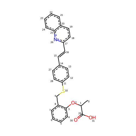 CC(Oc1ccccc1CSc1ccc(C=Cc2ccc3ccccc3n2)cc1)C(=O)O